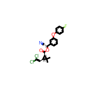 CC1(C)[C@H](C(=O)O[C@H](C#N)c2cccc(Oc3ccc(F)cc3)c2)[C@@H]1C=C(Cl)Cl